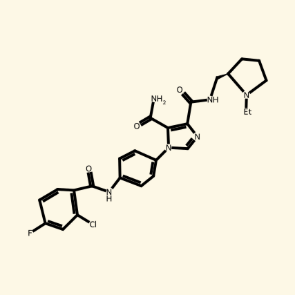 CCN1CCC[C@@H]1CNC(=O)c1ncn(-c2ccc(NC(=O)c3ccc(F)cc3Cl)cc2)c1C(N)=O